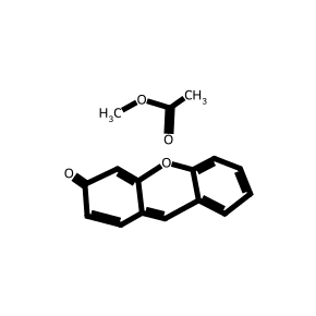 COC(C)=O.O=c1ccc2cc3ccccc3oc-2c1